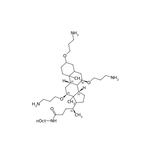 CCCCCCCCNC(=O)CC[C@H](C)C1CC[C@H]2C3[C@H](OCCCN)CC4CC(OCCCN)CCC4(C)[C@H]3C[C@H](OCCCN)C12C